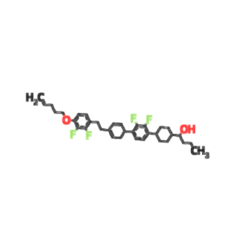 C=CCCCOc1ccc(CCC2=CCC(c3ccc(C4CCC(C(O)CCC)CC4)c(F)c3F)C=C2)c(F)c1F